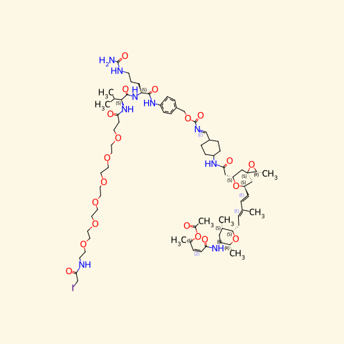 CC(=O)O[C@@H](C)/C=C\C(=O)N[C@@H]1C[C@H](C)[C@H](C/C=C(C)/C=C/[C@@H]2C[C@]3(C[C@@H](CC(=O)NC4CCC(/C=N/C(=O)OCc5ccc(NC(=O)[C@H](CCCNC(N)=O)NC(=O)[C@@H](NC(=O)CCOCCOCCOCCOCCOCCOCCNC(=O)CI)C(C)C)cc5)CC4)O2)O[C@@H]3C)O[C@@H]1C